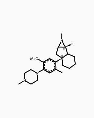 COc1cc([C@]23CCCCC2[C@@H]2C(C3)N2C)c(C)cc1N1CCN(C)CC1